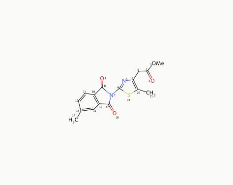 COC(=O)Cc1nc(N2C(=O)c3ccc(C)cc3C2=O)sc1C